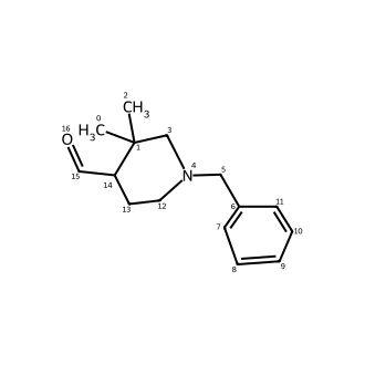 CC1(C)CN(Cc2ccccc2)CCC1C=O